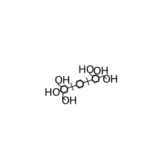 CC(C)(c1ccc(C(C)(C)c2ccc(CO)c(O)c2CO)cc1)c1cc(CO)c(O)c(CO)c1